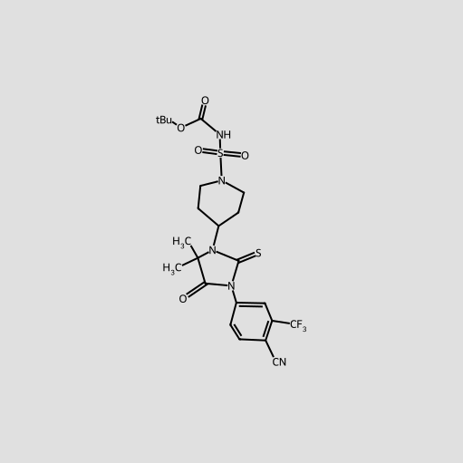 CC(C)(C)OC(=O)NS(=O)(=O)N1CCC(N2C(=S)N(c3ccc(C#N)c(C(F)(F)F)c3)C(=O)C2(C)C)CC1